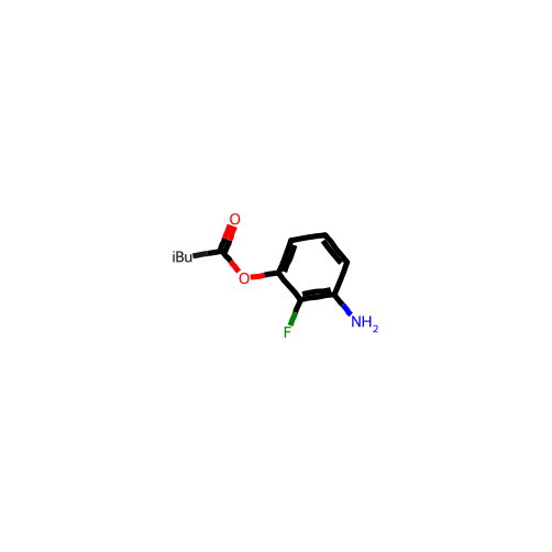 CCC(C)C(=O)Oc1cccc(N)c1F